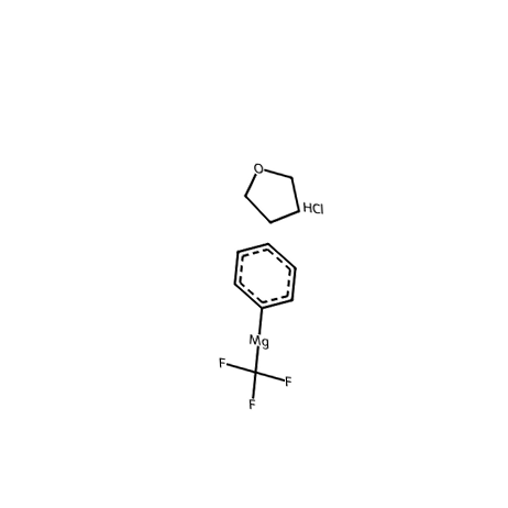 C1CCOC1.Cl.F[C](F)(F)[Mg][c]1ccccc1